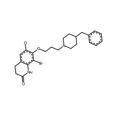 O=C1CCc2cc(Cl)c(OCCCN3CCC(Cc4ccccc4)CC3)c(Br)c2N1